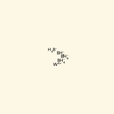 [BH4-].[BH4-].[BH4-].[BH4-].[W+4]